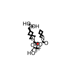 O=C(O)N1CC2(CCC2)C1.O=C(O[C@H](CO)C(F)(F)F)N1CC2(CC(=CB(O)O)C2)C1